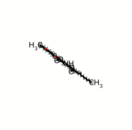 CCCCCCCCCCCCCC(=O)OCCCNCCCOC(=O)CCCCCCCCCCCCC